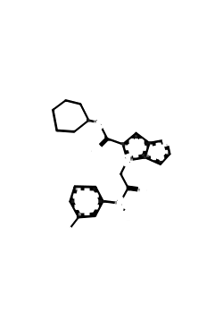 CCN(C(=O)Cn1c(C(=O)NC2CCCCC2)cc2sccc21)c1cccc(C(C)C)c1